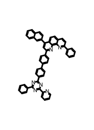 c1ccc(-c2ccc3ccc4c(-c5ccc6ccccc6c5)cc(-c5ccc(-c6ccc(-c7nc(-c8ccccc8)nc(-c8ccccn8)n7)cc6)cc5)nc4c3n2)cc1